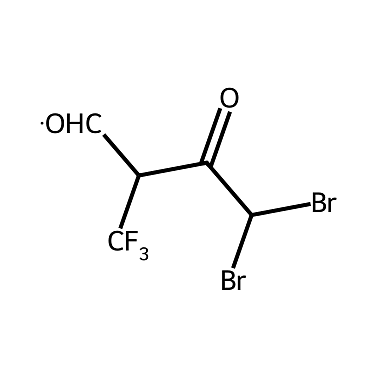 O=[C]C(C(=O)C(Br)Br)C(F)(F)F